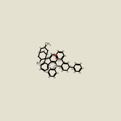 CCC1CC2CC(C)CC(C2)C12c1ccccc1-c1c(N(C3=CCC(c4ccccc4)C=C3c3ccccc3)c3ccccc3)cccc12